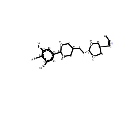 C/C=C\[C@H]1CO[C@H](CCC2COC(c3cc(F)c(F)c(F)c3)OC2)OC1